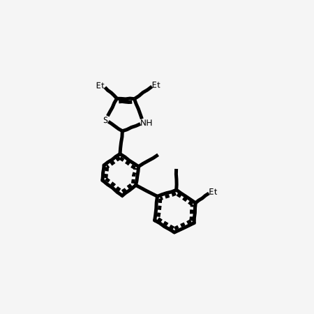 CCC1=C(CC)SC(c2cccc(-c3cccc(CC)c3C)c2C)N1